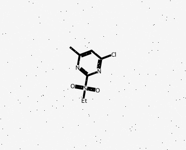 CCS(=O)(=O)c1nc(C)cc(Cl)n1